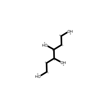 OCCC(O)C(O)CCO